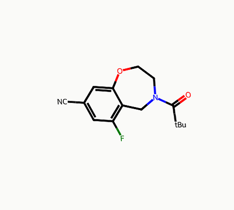 CC(C)(C)C(=O)N1CCOc2cc(C#N)cc(F)c2C1